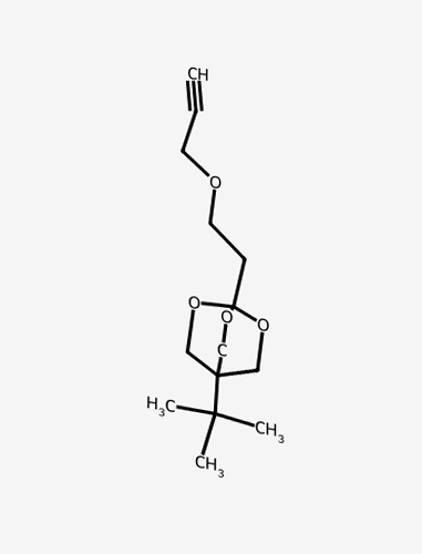 C#CCOCCC12OCC(C(C)(C)C)(CO1)CO2